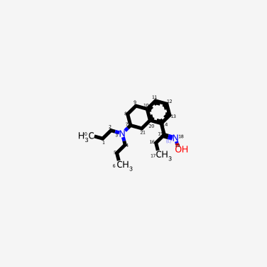 CCCN(CCC)C1CCc2cccc(/C(CC)=N/O)c2C1